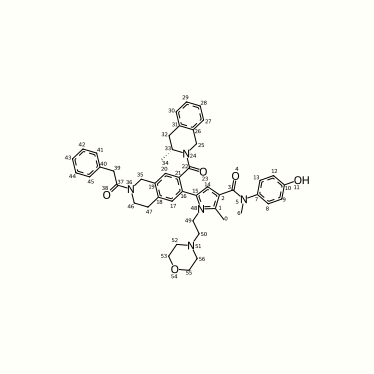 Cc1c(C(=O)N(C)c2ccc(O)cc2)cc(-c2cc3c(cc2C(=O)N2Cc4ccccc4C[C@H]2C)CN(C(=O)Cc2ccccc2)CC3)n1CCN1CCOCC1